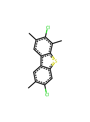 Cc1cc2c(cc1Cl)sc1c(C)c(Cl)c(C)cc12